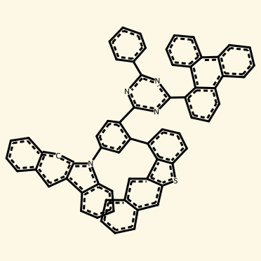 c1ccc(-c2nc(-c3ccc(-n4c5ccccc5c5cc6ccccc6cc54)cc3-c3cccc4sc5cc6ccccc6cc5c34)nc(-c3cccc4c5ccccc5c5ccccc5c34)n2)cc1